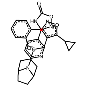 O=C1NC(c2ccc(N3C4CCC3CC(OCc3c(-c5ccccc5C(F)(F)F)noc3C3CC3)C4)nc2)NO1